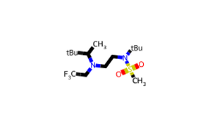 CC(N(CCN(C(C)(C)C)S(C)(=O)=O)CC(F)(F)F)C(C)(C)C